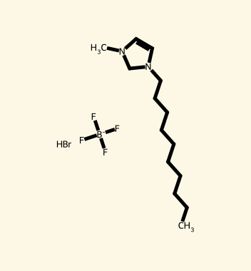 Br.CCCCCCCCCCN1C=CN(C)C1.F[B-](F)(F)F